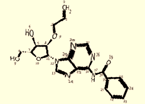 C=CCO[C@@H]1[C@H](O)[C@@H](CO)O[C@H]1n1cnc2c(NC(=O)c3ccccc3)ncnc21